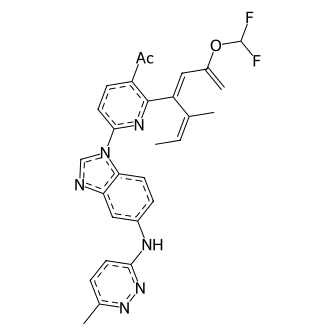 C=C(/C=C(\C(C)=C/C)c1nc(-n2cnc3cc(Nc4ccc(C)nn4)ccc32)ccc1C(C)=O)OC(F)F